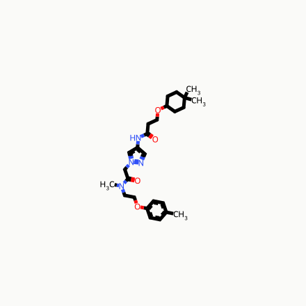 Cc1ccc(OCCN(C)C(=O)Cn2cc(NC(=O)CCOC3CCC(C)(C)CC3)cn2)cc1